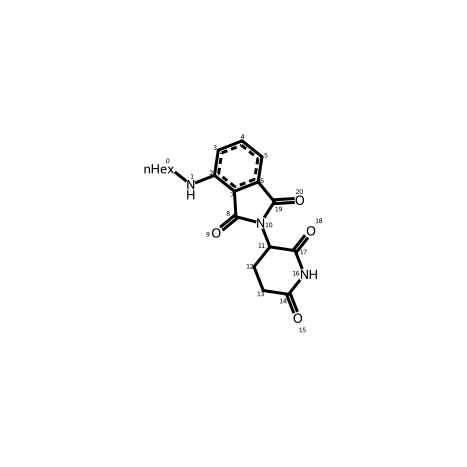 CCCCCCNc1cccc2c1C(=O)N(C1CCC(=O)NC1=O)C2=O